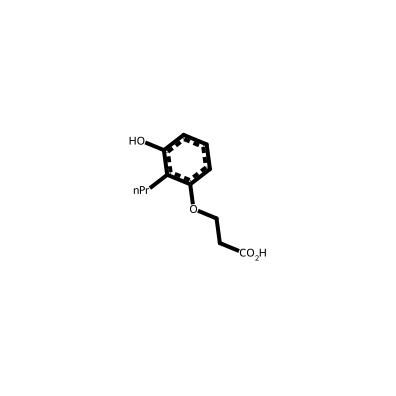 CCCc1c(O)cccc1OCCC(=O)O